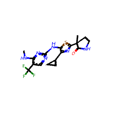 CNc1nc(Nc2sc(C3(C)CCNC3=O)nc2C2CC2)ncc1C(F)(F)F